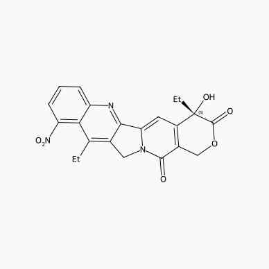 CCc1c2c(nc3cccc([N+](=O)[O-])c13)-c1cc3c(c(=O)n1C2)COC(=O)[C@]3(O)CC